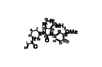 C=CC(=O)N1CCC[C@@H](n2c(=O)n(-c3ccc(C)c(OC)c3)c3c(N)ncnc32)C1